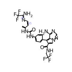 C=C(/C=C\N=C(/N)C(F)(F)F)NC(=O)Nc1ccc(-c2c(C(=O)NCC(F)(F)F)cn3ncnc(N)c23)cc1